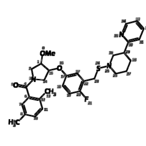 COC1CN(C(=O)c2cc(C)ccc2C)CC1Oc1ccc(F)c(CSN2CCCC(c3ccccn3)C2)c1